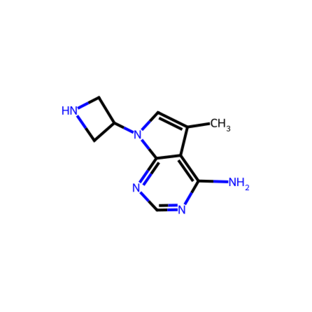 Cc1cn(C2CNC2)c2ncnc(N)c12